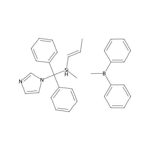 CB(c1ccccc1)c1ccccc1.CC=C[SiH](C)C(c1ccccc1)(c1ccccc1)n1ccnc1